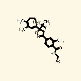 CC(=O)CNC(=O)c1ccc(C2=NOC(C3=CC(C(F)(F)F)=C(C)CCN3)(C(C)(F)F)C2)cc1C